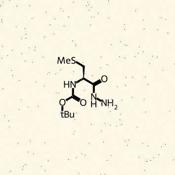 CSC[C@H](NC(=O)OC(C)(C)C)C(=O)NN